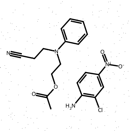 CC(=O)OCCN(CCC#N)c1ccccc1.Nc1ccc([N+](=O)[O-])cc1Cl